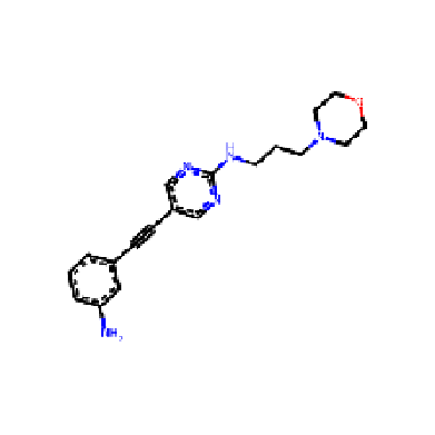 Nc1cccc(C#Cc2cnc(NCCCN3CCOCC3)nc2)c1